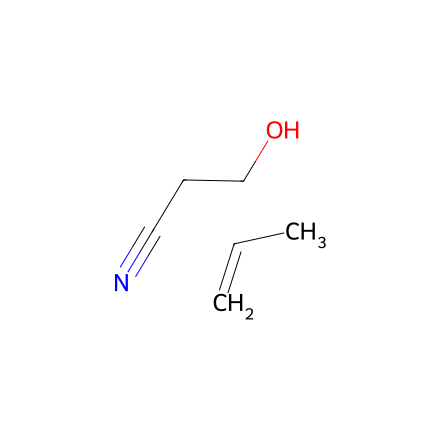 C=CC.N#CCCO